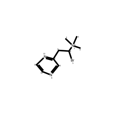 C[N+](C)(C)C(Br)Cc1cnccn1